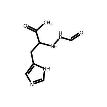 CC(=O)C(Cc1cnc[nH]1)NBC=O